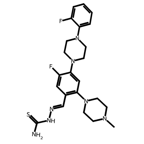 CN1CCN(c2cc(N3CCN(c4ccccc4F)CC3)c(F)cc2C=NNC(N)=S)CC1